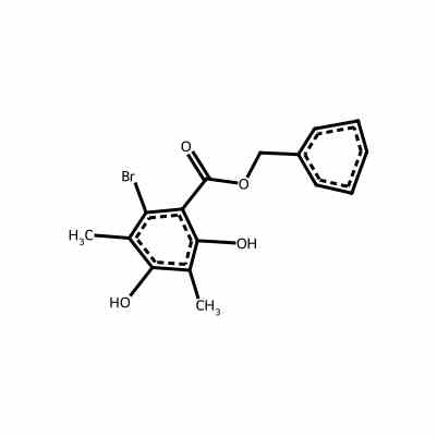 Cc1c(O)c(C)c(Br)c(C(=O)OCc2ccccc2)c1O